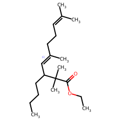 CCCCC(/C=C(\C)CCC=C(C)C)C(C)(C)C(=O)OCC